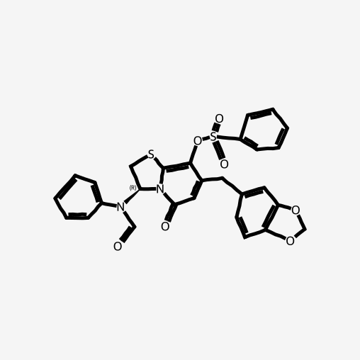 O=CN(c1ccccc1)[C@H]1CSc2c(OS(=O)(=O)c3ccccc3)c(Cc3ccc4c(c3)OCO4)cc(=O)n21